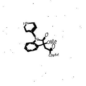 COC(=O)CC1(OC)C(=O)N(C2CCNCC2)c2ccccc21